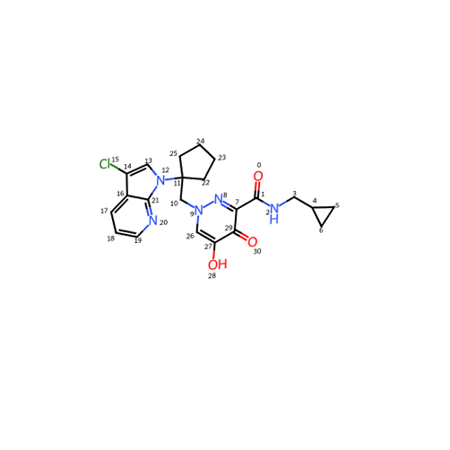 O=C(NCC1CC1)c1nn(CC2(n3cc(Cl)c4cccnc43)CCCC2)cc(O)c1=O